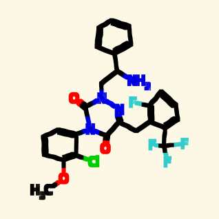 COc1cccc(-n2c(=O)c(Cc3c(F)cccc3C(F)(F)F)nn(CC(N)c3ccccc3)c2=O)c1Cl